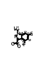 Cn1nc(C(=O)[O-])c2c(F)cc(F)cc21.[Li+]